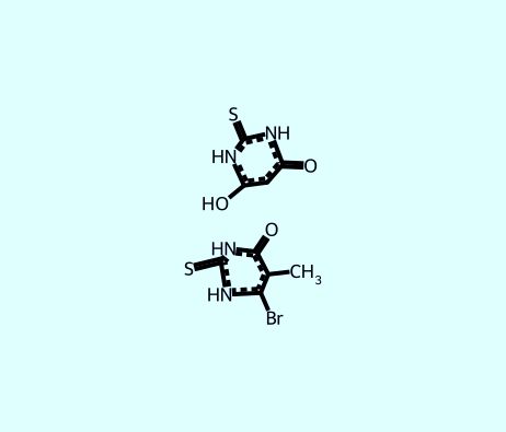 Cc1c(Br)[nH]c(=S)[nH]c1=O.O=c1cc(O)[nH]c(=S)[nH]1